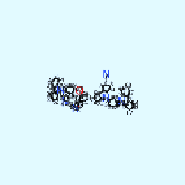 N#Cc1ccc2c(c1)c1cc(-c3ccc4c(c3)Oc3ccc(-n5c6ccccc6c6ccccc65)cc3C43c4cccnc4-c4ncccc43)ccc1n2-c1cccc(-n2c3ccccc3c3ccccc32)c1